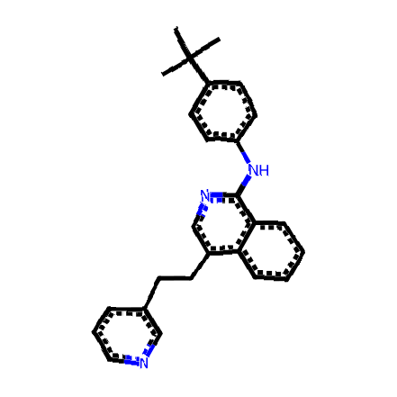 CC(C)(C)c1ccc(Nc2ncc(CCc3cccnc3)c3ccccc23)cc1